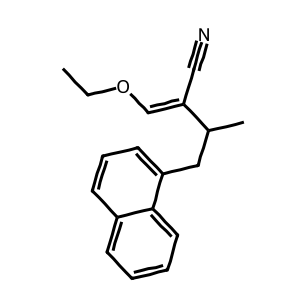 CCOC=C(C#N)C(C)Cc1cccc2ccccc12